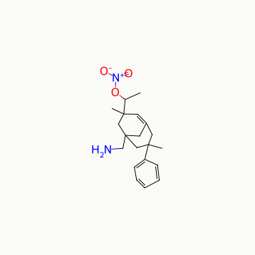 CC(O[N+](=O)[O-])C1(C)C=C2CC(CN)(CC(C)(c3ccccc3)C2)C1